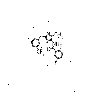 Cc1nc(Cc2cccc(C(F)(F)F)c2)sc1NC(=O)c1cc(F)ccc1F